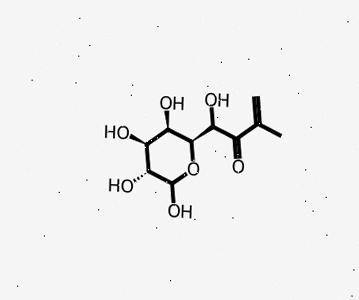 C=C(C)C(=O)C(O)[C@H]1OC(O)[C@H](O)[C@@H](O)[C@H]1O